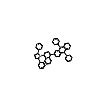 c1ccc(-c2c3ccccc3c(-c3ccccc3)c3cc(-c4ccc(-n5c(-c6ccccc6)ccc5-c5ccccc5)c5ccccc45)ccc23)cc1